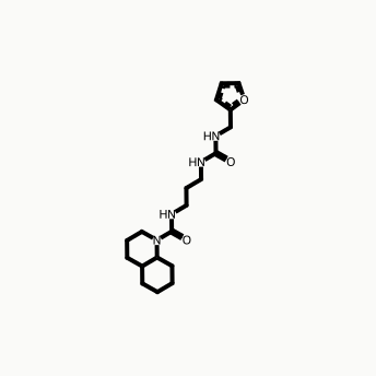 O=C(NCCCNC(=O)N1CCCC2CCCCC21)NCc1ccco1